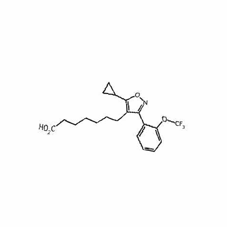 O=C(O)CCCCCCc1c(-c2ccccc2OC(F)(F)F)noc1C1CC1